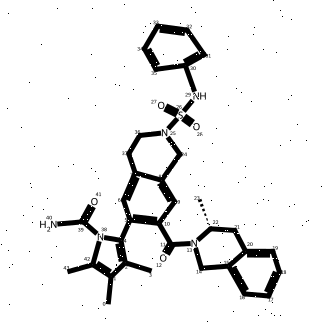 Cc1c(C)c(-c2cc3c(cc2C(=O)N2Cc4ccccc4C[C@H]2C)CN(S(=O)(=O)Nc2ccccc2)CC3)n(C(N)=O)c1C